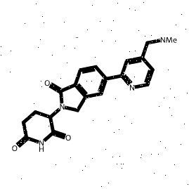 CNCc1ccnc(-c2ccc3c(c2)CN(C2CCC(=O)NC2=O)C3=O)c1